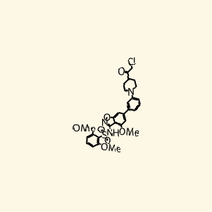 COc1cccc(OC)c1S(=O)(=O)Nc1noc2cc(-c3cccc(N4CCC(C(=O)CCl)CC4)c3)cc(OC)c12